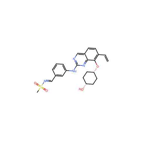 C=Cc1ccc2cnc(Nc3cccc(C=NS(C)(=O)=O)c3)nc2c1O[C@H]1CC[C@@H](O)CC1